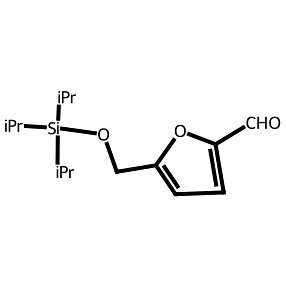 CC(C)[Si](OCc1ccc(C=O)o1)(C(C)C)C(C)C